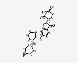 O=C1CCC(N2Cc3cc(C[C@H]4CCCC[C@@H]4NC4CCC(F)CC4)ccc3C2=O)C(=O)N1